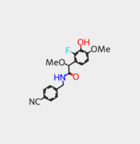 COc1ccc([C@H](OC)C(=O)NCc2ccc(C#N)cc2)c(F)c1O